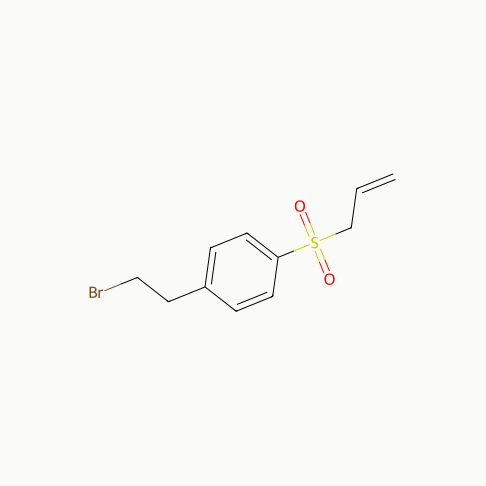 C=CCS(=O)(=O)c1ccc(CCBr)cc1